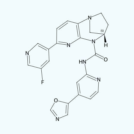 O=C(Nc1cc(-c2cnco2)ccn1)N1c2nc(-c3cncc(F)c3)ccc2N2CC[C@H]1C2